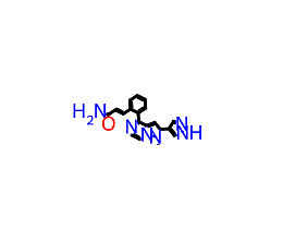 CN1C(c2cn[nH]c2)C=C2C(c3ccccc3C=CC(N)=O)=NC=CN21